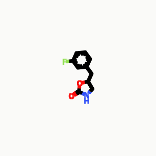 O=C1NCC(Cc2cccc(F)c2)O1